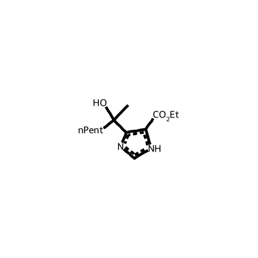 CCCCCC(C)(O)c1nc[nH]c1C(=O)OCC